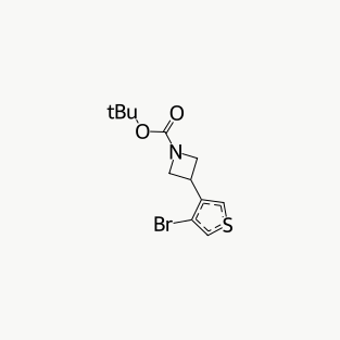 CC(C)(C)OC(=O)N1CC(c2cscc2Br)C1